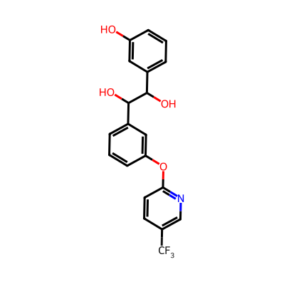 Oc1cccc(C(O)C(O)c2cccc(Oc3ccc(C(F)(F)F)cn3)c2)c1